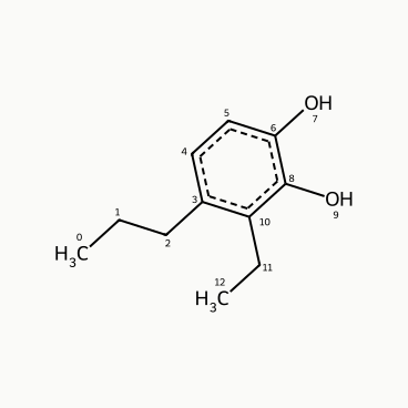 CCCc1ccc(O)c(O)c1CC